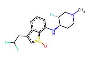 CN1CC[C@@H](Nc2cccc3c(CC(F)F)c[s+]([O-])c23)[C@H](F)C1